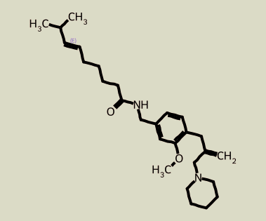 C=C(Cc1ccc(CNC(=O)CCCC/C=C/C(C)C)cc1OC)CN1CCCCC1